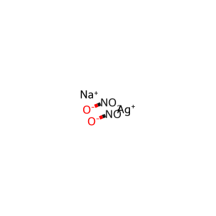 O=N[O-].O=[N+]([O-])[O-].[Ag+].[Na+]